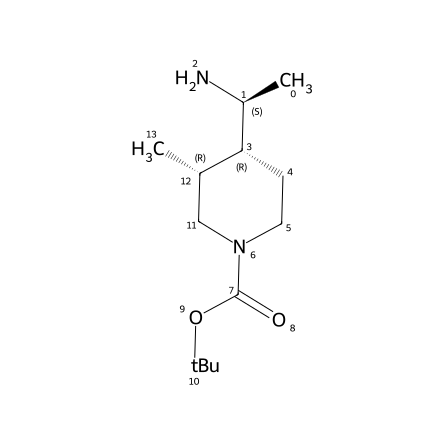 C[C@H](N)[C@@H]1CCN(C(=O)OC(C)(C)C)C[C@@H]1C